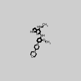 CCNc1cc(Nc2ccc(N3CCC(N4CCOCC4)CC3)cc2OC)nc2[nH]ccc12